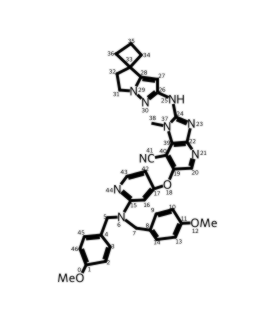 COc1ccc(CN(Cc2ccc(OC)cc2)c2cc(Oc3cnc4nc(Nc5cc6n(n5)CCC65CCC5)n(C)c4c3C#N)ccn2)cc1